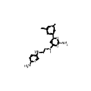 Cc1cc(C)cc(-c2cc(NCCNc3ccc(N)nc3)nc(N)n2)c1